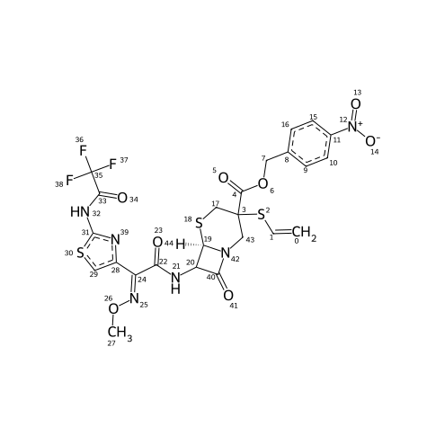 C=CSC1(C(=O)OCc2ccc([N+](=O)[O-])cc2)CS[C@@H]2C(NC(=O)C(=NOC)c3csc(NC(=O)C(F)(F)F)n3)C(=O)N2C1